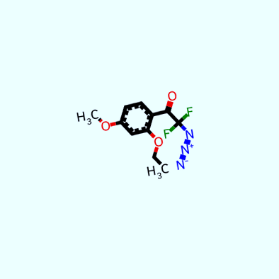 CCOc1cc(OC)ccc1C(=O)C(F)(F)N=[N+]=[N-]